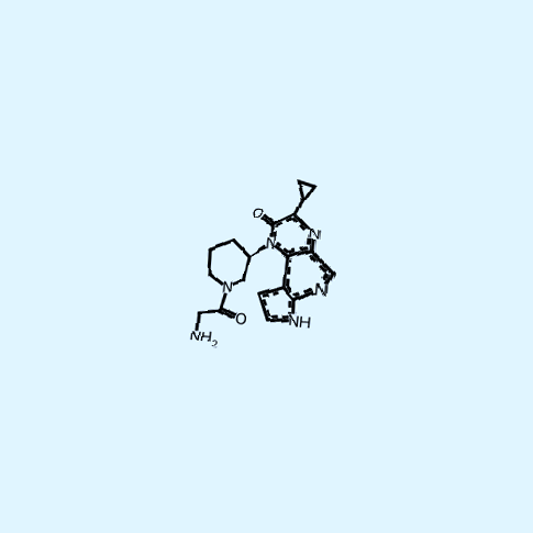 NCC(=O)N1CCC[C@@H](n2c(=O)c(C3CC3)nc3cnc4[nH]ccc4c32)C1